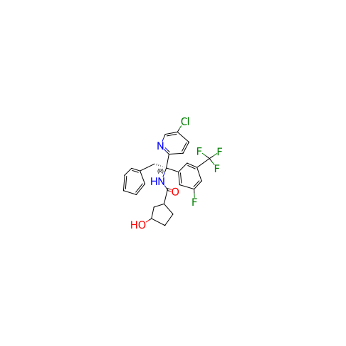 O=C(N[C@](Cc1ccccc1)(c1cc(F)cc(C(F)(F)F)c1)c1ccc(Cl)cn1)C1CCC(O)C1